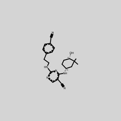 CC1(C)C[C@H](Nc2nc(NCCc3ccc(C#N)cc3)ncc2C#N)CC[C@@H]1O